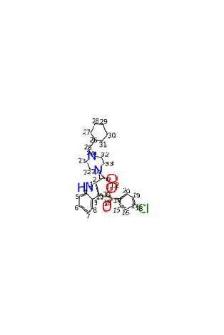 O=C(c1[nH]c2ccccc2c1S(=O)(=O)c1ccc(Cl)cc1)N1CCN(CC2CCCCC2)CC1